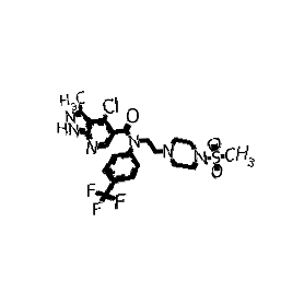 Cc1n[nH]c2ncc(C(=O)N(CCN3CCN(S(C)(=O)=O)CC3)c3ccc(C(F)(F)F)cc3)c(Cl)c12